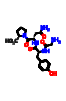 NCC(=O)N[C@@H](Cc1ccc(O)cc1)C(=O)N[C@@H](CC(N)=O)C(=O)N1CCC[C@H]1C(=O)O